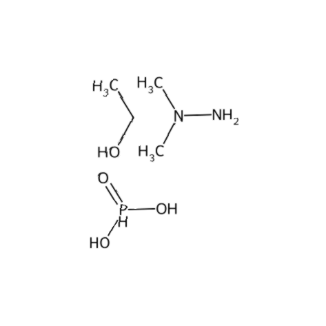 CCO.CN(C)N.O=[PH](O)O